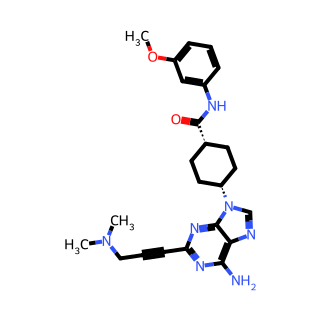 COc1cccc(NC(=O)[C@H]2CC[C@@H](n3cnc4c(N)nc(C#CCN(C)C)nc43)CC2)c1